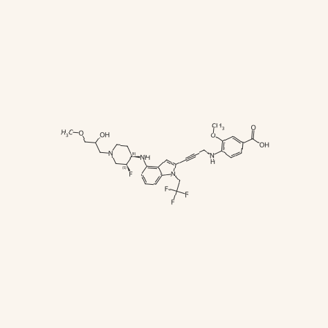 COCC(O)CN1CC[C@@H](Nc2cccc3c2cc(C#CCNc2ccc(C(=O)O)cc2OC)n3CC(F)(F)F)[C@@H](F)C1